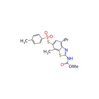 COC(=O)Nc1nc2c(C(C)C)cc(SS(=O)(=O)c3ccc(C)cc3)c(C)c2s1